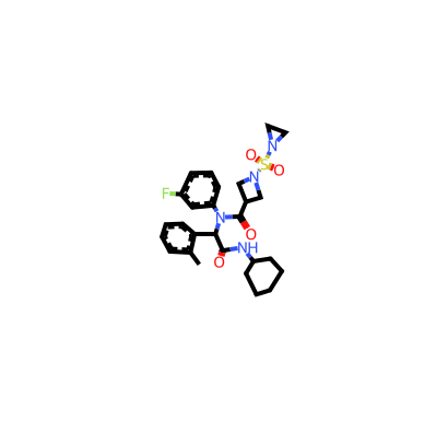 Cc1ccccc1C(C(=O)NC1CCCCC1)N(C(=O)C1CN(S(=O)(=O)N2CC2)C1)c1cccc(F)c1